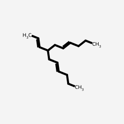 C/C=C/[C](C/C=C/CCC)C/C=C/CCC